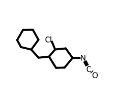 O=C=NC1CCC(CC2CCCCC2)C(Cl)C1